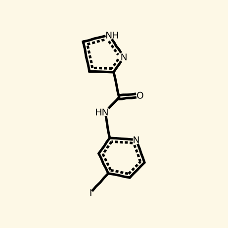 O=C(Nc1cc(I)ccn1)c1cc[nH]n1